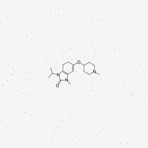 CC(C)n1c2c(n(C)c1=O)C=C(OC1CCN(C)CC1)CC2